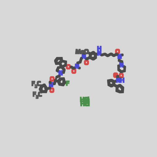 COc1cc(NCCCCCC(=O)N(C)CCN2CCC(OC(=O)Nc3ccccc3-c3ccccc3)CC2)ccc1C(=O)N(C)CCCN(C)C(=O)CO[C@H]1Cc2ccccc2C12CCN(CC[C@]1(c3ccc(F)cc3)CN(C(=O)c3cc(C(F)(F)F)cc(C(F)(F)F)c3)CO1)CC2.Cl.Cl.Cl